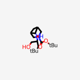 CC(C)(C)CC(CO)NC1C2CC1CN(C(=O)OC(C)(C)C)C2